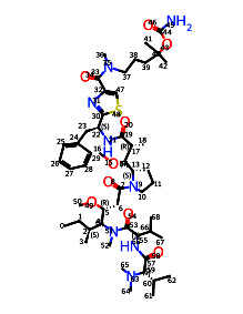 CC[C@H](C)[C@@H]([C@@H](CC(=O)N1CCC[C@H]1[C@H](OC)[C@@H](C)C(=O)N[C@@H](Cc1ccccc1)c1nc(C(=O)N(C)CCCC(C)(C)OC(N)=O)cs1)OC)N(C)C(=O)[C@@H](NC(=O)[C@H](C(C)C)N(C)C)C(C)C